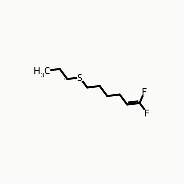 CC[CH]SCCCCC=C(F)F